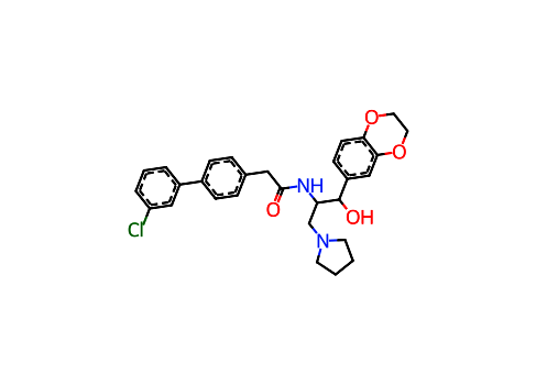 O=C(Cc1ccc(-c2cccc(Cl)c2)cc1)NC(CN1CCCC1)C(O)c1ccc2c(c1)OCCO2